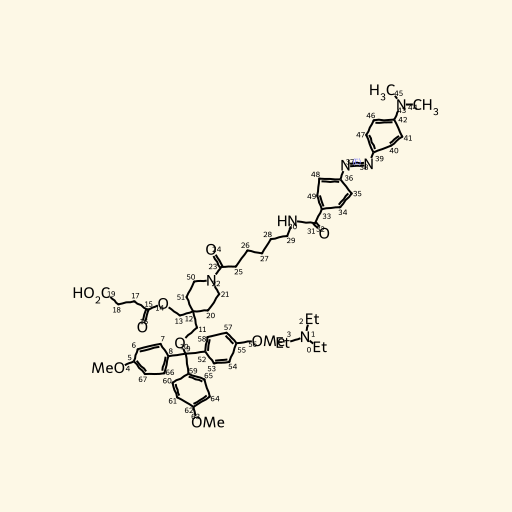 CCN(CC)CC.COc1ccc(C(OCC2(COC(=O)CCC(=O)O)CCN(C(=O)CCCCCNC(=O)c3ccc(/N=N/c4ccc(N(C)C)cc4)cc3)CC2)(c2ccc(OC)cc2)c2ccc(OC)cc2)cc1